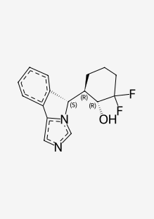 O[C@@H]1[C@@H]([C@H]2c3ccccc3-c3cncn32)CCCC1(F)F